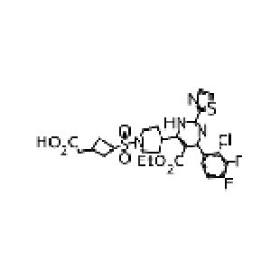 CCOC(=O)C1=C(C2CCN(S(=O)(=O)C3CC(CC(=O)O)C3)CC2)NC(c2nccs2)=NC1c1ccc(F)c(F)c1Cl